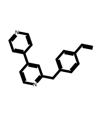 C=Cc1ccc(Cc2cc(-c3ccncc3)ccn2)cc1